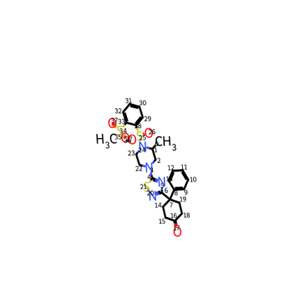 CC1CN(c2nc(C3(c4ccccc4)CCC(=O)CC3)ns2)CCN1S(=O)(=O)c1ccccc1S(C)(=O)=O